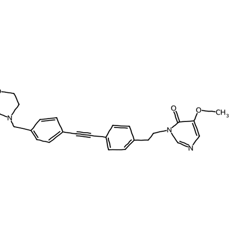 COc1cncn(CCc2ccc(C#Cc3ccc(CN4CCOCC4)cc3)cc2)c1=O